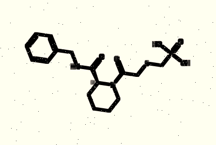 O=C(NCc1ccccc1)[C@@H]1CCCCN1C(=O)CSCP(=O)(O)O